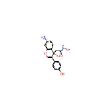 Nc1ccc2c(c1)OC=C(c1ccc(O)cc1)C2(O)CC(=O)NO